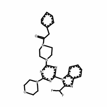 O=C(Cc1ccccc1)N1CCN(c2nc(N3CCOCC3)nc(-n3c(C(F)F)nc4ccccc43)n2)CC1